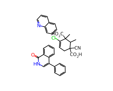 CC1C(C#N)(C(=O)O)CC=C(Cl)C1(C)C(=O)O.O=c1[nH]cc(-c2ccccc2)c2ccccc12.c1ccc2ncccc2c1